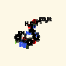 CCOC(=O)CCCS(C)(=O)=NC(=O)c1c[nH]c(-c2cc(Oc3ccc(NC(=O)Nc4cc(C)ccc4F)c(F)c3)ccn2)c1